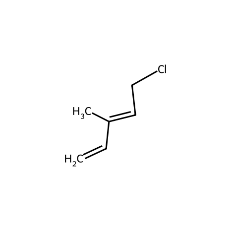 C=C/C(C)=C/CCl